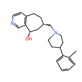 Cc1ccccc1C1CCN(C[C@@H]2CCc3ccncc3[C@H](O)C2)CC1